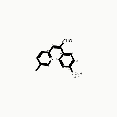 Cc1ccc(C=C(C=O)c2ccc(C(=O)O)cc2)nc1